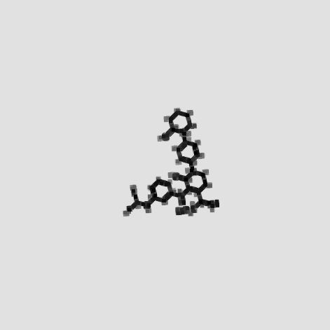 CCOC(=O)C(=N)C1=C(Nc2cccc(OC(F)F)c2)C(=O)N(c2ccc(N3CCCCC3=O)cc2)CC1